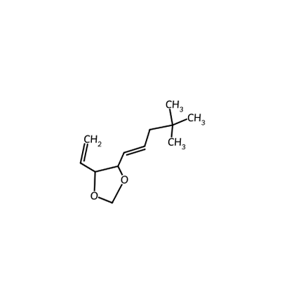 C=CC1OCOC1/C=C/CC(C)(C)C